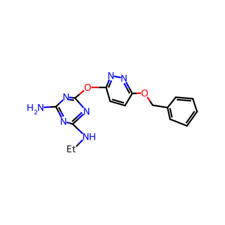 CCNc1nc(N)nc(Oc2ccc(OCc3ccccc3)nn2)n1